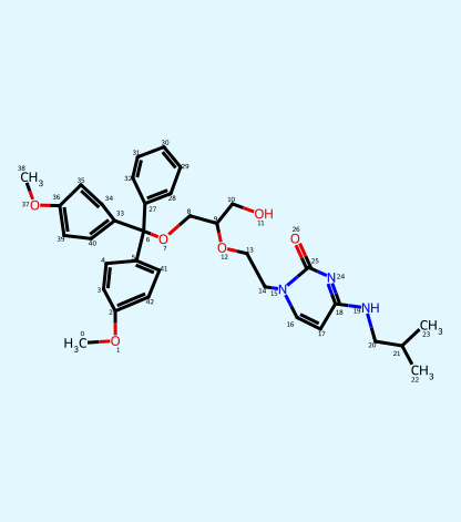 COc1ccc(C(OCC(CO)OCCn2ccc(NCC(C)C)nc2=O)(c2ccccc2)c2ccc(OC)cc2)cc1